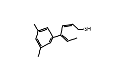 C/C=C(\C=C/CS)c1cc(C)cc(C)c1